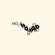 Cc1cc(Nc2ncc3c(=O)n(-c4c(Cl)cccc4Cl)ccc3n2)ccc1N1CCN(C(=O)O)CC1